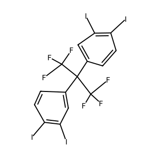 FC(F)(F)C(c1ccc(I)c(I)c1)(c1ccc(I)c(I)c1)C(F)(F)F